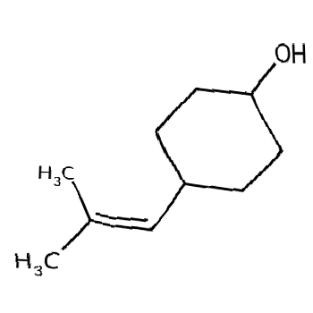 CC(C)=CC1CCC(O)CC1